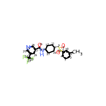 Cc1cccc(S(=O)(=O)C[C@H]2CC[C@H](NC(=O)c3cncc(C(F)(F)F)c3)CC2)c1